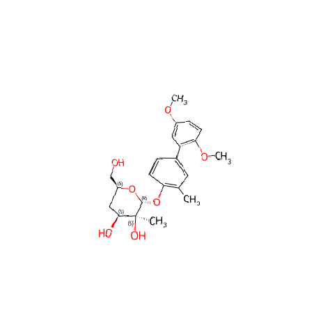 COc1ccc(OC)c(-c2ccc(O[C@H]3O[C@H](CO)C[C@H](O)[C@]3(C)O)c(C)c2)c1